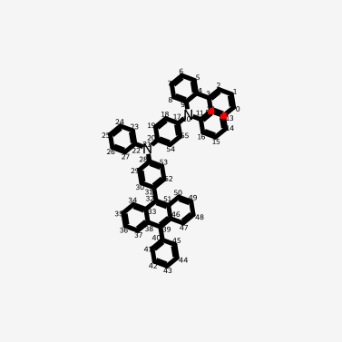 c1ccc(-c2ccccc2N(c2ccccc2)c2ccc(N(c3ccccc3)c3ccc(-c4c5ccccc5c(-c5ccccc5)c5ccccc45)cc3)cc2)cc1